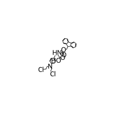 O=C(N[C@@H](Cc1ccc(N(CCCl)CCCl)cc1)C(=O)O)OCC1c2ccccc2-c2ccccc21